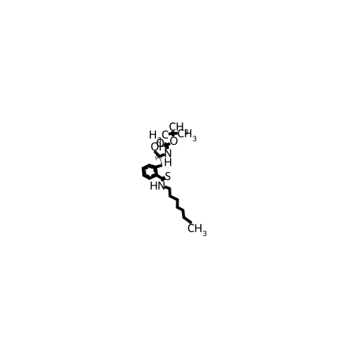 CCCCCCCCNC(=S)c1ccccc1C[C@H](CO)NC(=O)OC(C)(C)C